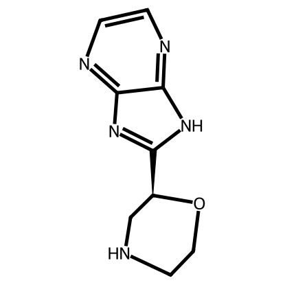 c1cnc2[nH]c([C@@H]3CNCCO3)nc2n1